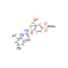 CNS(=O)(=O)c1ccc(S(=O)(=O)NC(=O)Nc2c(C(C)C)cc(C#N)cc2C(C)C)c(CO)c1